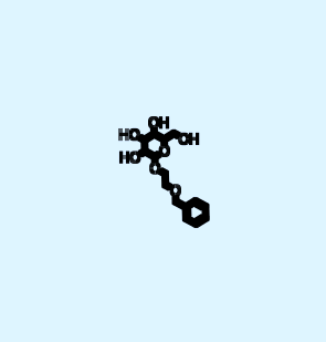 OCC1OC(OCCOCc2ccccc2)C(O)C(O)C1O